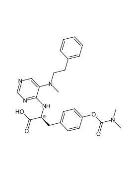 CN(C)C(=O)Oc1ccc(C[C@H](Nc2ncncc2N(C)CCc2ccccc2)C(=O)O)cc1